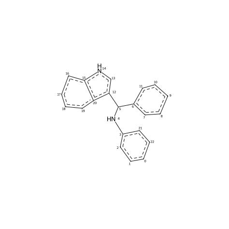 c1ccc(NC(c2ccccc2)c2c[nH]c3ccccc23)cc1